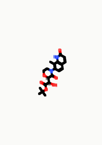 Cc1c(N2CCO[C@H]([C@@H](O)C(=O)OC(C)(C)C)C2=O)ccc2ccc(=O)[nH]c12